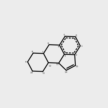 [c]1cc2c3c(c1)CC1CCCCC1C3C=C2